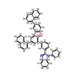 c1ccc(-n2c(-c3cccc(-c4cc(-c5cccc6ccccc56)cc5c4oc4ccc(-c6cccc7ccccc67)cc45)c3)nc3ccccc32)cc1